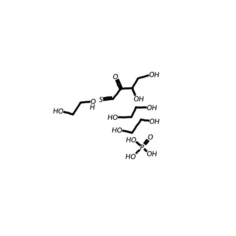 O=C(C=S)C(O)CO.O=P(O)(O)O.OCCO.OCCO.OCCO